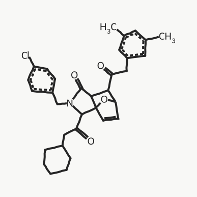 Cc1cc(C)cc(CC(=O)C2C3C=CC4(O3)C2C(=O)N(Cc2ccc(Cl)cc2)C4C(=O)CC2CCCCC2)c1